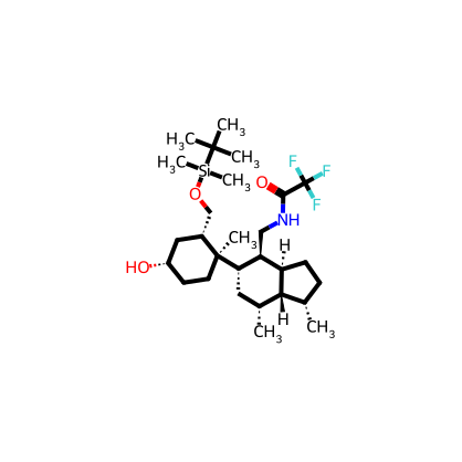 C[C@@H]1C[C@H]([C@@]2(C)CC[C@H](O)C[C@@H]2CO[Si](C)(C)C(C)(C)C)[C@@H](CNC(=O)C(F)(F)F)[C@H]2CC[C@H](C)[C@@H]21